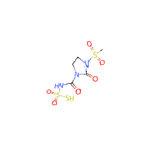 CS(=O)(=O)N1CCN(C(=O)NS(=O)(=O)S)C1=O